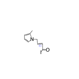 Cc1cccn1C/C=C/C(=O)I